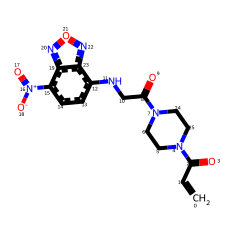 C=CC(=O)N1CCN(C(=O)CNc2ccc([N+](=O)[O-])c3nonc23)CC1